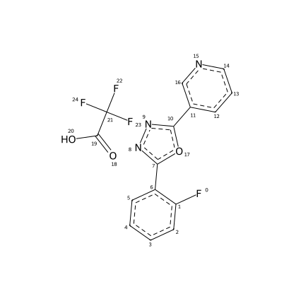 Fc1ccccc1-c1nnc(-c2cccnc2)o1.O=C(O)C(F)(F)F